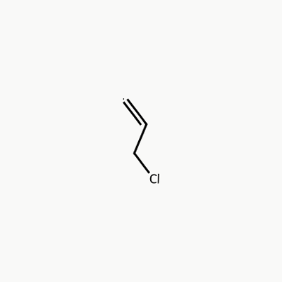 [CH]=CCCl